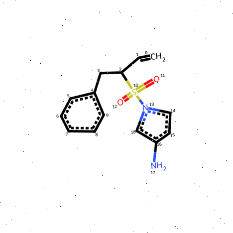 C=CC(Cc1ccccc1)S(=O)(=O)n1ccc(N)c1